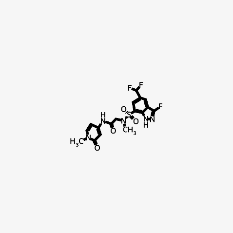 CN(CC(=O)Nc1ccn(C)c(=O)c1)S(=O)(=O)c1cc(C(F)F)cc2c(F)n[nH]c12